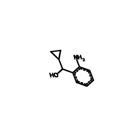 Nc1ccccc1C(O)C1CC1